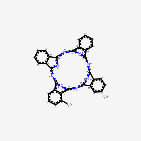 [Co].[Co][c]1cccc2c3nc4nc(nc5[nH]c(nc6nc(nc([nH]3)c12)-c1ccccc1-6)c1ccccc51)-c1ccccc1-4